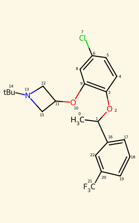 CC(Oc1ccc(Cl)cc1OC1CN(C(C)(C)C)C1)c1cccc(C(F)(F)F)c1